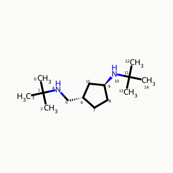 CC(C)(C)NC[C@H]1CC[C@H](NC(C)(C)C)C1